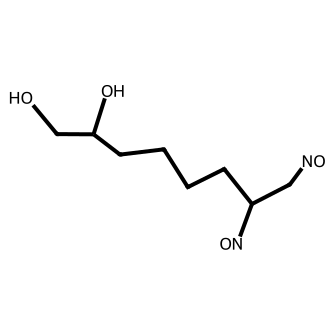 O=NCC(CCCCC(O)CO)N=O